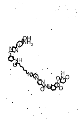 NC1(CO)CCN(c2cnc(Sc3cccc(NC(=O)CCCCCCN4CC5(CCN(c6ccc(C(=O)NCc7ccc8c(c7)CN(C7CCC(=O)NC7=O)C8=O)nc6)C5)C4)c3)cn2)CC1